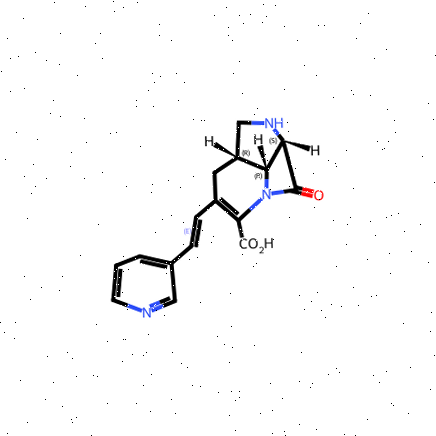 O=C(O)C1=C(/C=C/c2cccnc2)C[C@@H]2CN[C@@H]3C(=O)N1[C@H]23